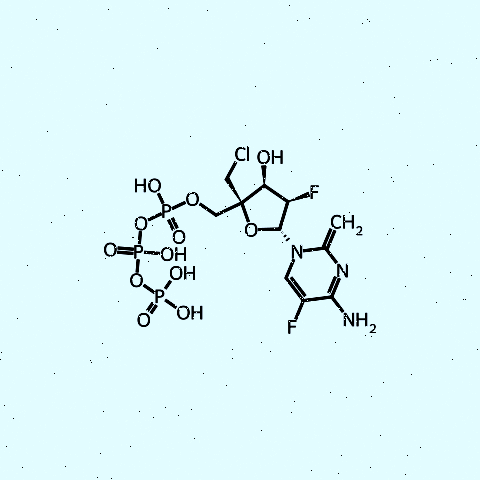 C=C1N=C(N)C(F)=CN1[C@@H]1O[C@](CCl)(COP(=O)(O)OP(=O)(O)OP(=O)(O)O)[C@@H](O)[C@H]1F